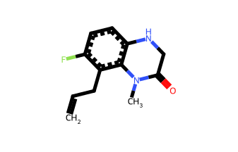 C=CCc1c(F)ccc2c1N(C)C(=O)CN2